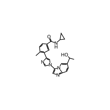 Cc1ccc(C(=O)NC2CC2)cc1-c1cn(-c2cnc3ccc(C(C)O)cn23)cn1